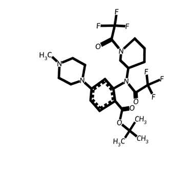 CN1CCN(c2ccc(C(=O)OC(C)(C)C)c(N(C(=O)C(F)(F)F)C3CCCN(C(=O)C(F)(F)F)C3)c2)CC1